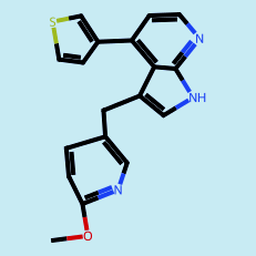 COc1ccc(Cc2c[nH]c3nccc(-c4ccsc4)c23)cn1